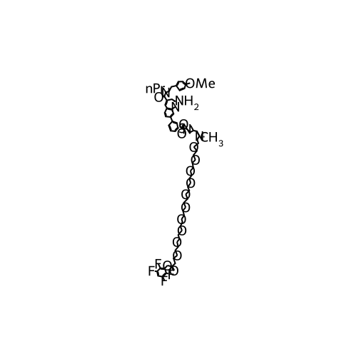 CCCN(CCc1ccc(OC)cc1)C(=O)C1=Cc2ccc(-c3cccc(S(=O)(=O)N4CC(CN(C)CCOCCOCCOCCOCCOCCOCCOCCOCCOCCOCCC(=O)Oc5c(F)c(F)cc(F)c5F)C4)c3)cc2N=C(N)C1